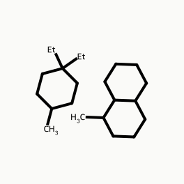 CC1CCCC2CCCCC12.CCC1(CC)CCC(C)CC1